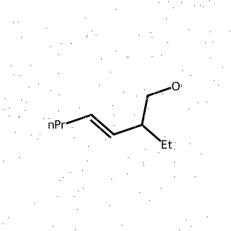 CCCC=CC(CC)C[O]